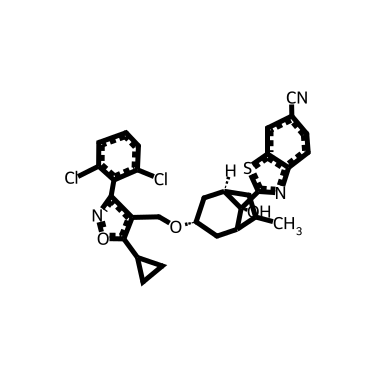 CC1C[C@@H]2C[C@@H](OCc3c(-c4c(Cl)cccc4Cl)noc3C3CC3)CC1[C@]2(O)c1nc2ccc(C#N)cc2s1